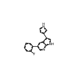 Fc1ccccc1-c1cnc2[nH]cc(-c3cc[nH]c3)c2c1